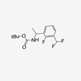 CC(NC(=O)OC(C)(C)C)c1cccc(C(F)F)c1F